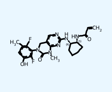 C=CC(=O)N[C@H]1CCCC[C@H]1Nc1ncc2c(n1)N(C)C(=O)N(c1c(F)c(C)cc(O)c1F)C2